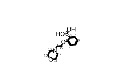 OB(O)c1ccccc1OCCN1CCOCC1